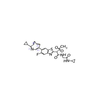 CS(=O)(=O)C(C(=O)NCC(=O)NC1CC1)c1nc2cc(F)c(C3=C/N=C(C4CC4)\C=C\C=C\3)cc2s1